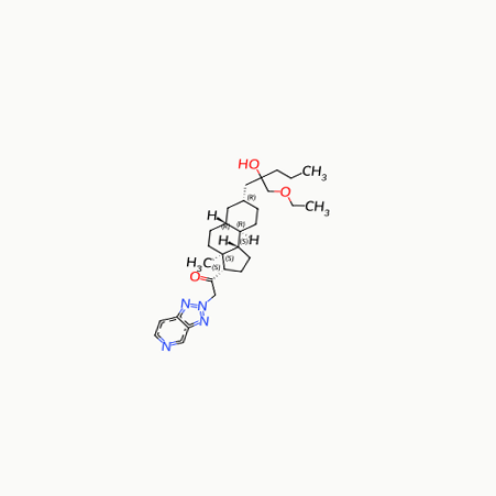 CCCC(O)(COCC)C[C@@H]1CC[C@@H]2[C@H](CC[C@]3(C)[C@@H](C(=O)Cn4nc5ccncc5n4)CC[C@@H]23)C1